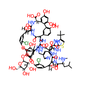 CN[C@@H](CC(C)C)C(=O)N[C@H]1C(=O)N[C@@H](CC(N)=O)C(=O)NC2C(=O)N[C@@H]3C(=O)N[C@@H](C(=O)N[C@@H](C(=O)O)c4cc(O)cc(O)c4-c4cc3ccc4O)[C@H](O)c3ccc(c(Cl)c3)Oc3cc2cc(c3OC2O[C@@H](CO)[C@@H](O)[C@@H](O)[C@H]2O[C@H]2CC(C)(NCc3cncc(C(=O)Nc4nc(C(C)(C)C)cs4)c3)[C@@H](O)[C@@H](C)O2)Oc2ccc(cc2Cl)[C@H]1O